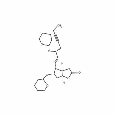 CCC#CC[C@@H](C=C[C@@H]1[C@H]2CC(=O)O[C@H]2C[C@H]1OC1CCCCO1)OC1CCCCO1